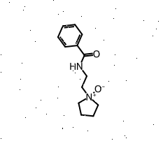 O=C(NCC[N+]1([O-])CCCC1)c1ccccc1